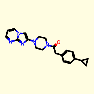 O=C(Cc1ccc(C2CC2)cc1)N1CCN(c2cn3cccnc3n2)CC1